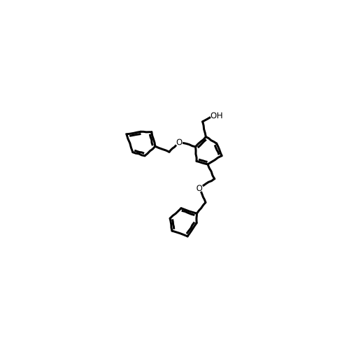 OCc1ccc(COCc2ccccc2)cc1OCc1ccccc1